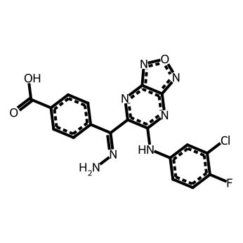 N/N=C(\c1ccc(C(=O)O)cc1)c1nc2nonc2nc1Nc1ccc(F)c(Cl)c1